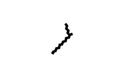 C=CCCCCCCCCCC(C)CCCCC